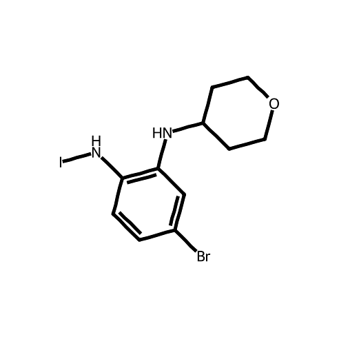 Brc1ccc(NI)c(NC2CCOCC2)c1